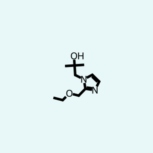 CCOCc1nccn1CC(C)(C)O